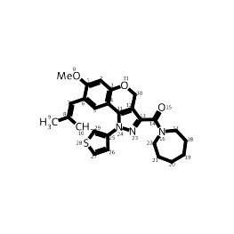 COc1cc2c(cc1C=C(C)C)-c1c(c(C(=O)N3CCCCCC3)nn1-c1ccsc1)CO2